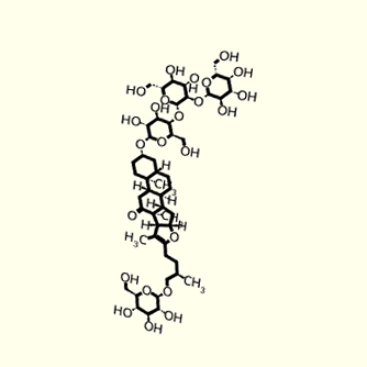 CC1=C(CC[C@@H](C)CO[C@@H]2O[C@H](CO)[C@@H](O)[C@H](O)[C@H]2O)O[C@H]2C[C@H]3[C@@H]4CC[C@H]5C[C@@H](O[C@@H]6O[C@H](CO)[C@H](O[C@@H]7O[C@H](CO)[C@@H](O)[C@H](O)[C@H]7O[C@@H]7O[C@H](CO)[C@H](O)[C@H](O)[C@H]7O)[C@H](O)[C@H]6O)CC[C@]5(C)[C@H]4CC(=O)[C@]3(C)[C@@H]12